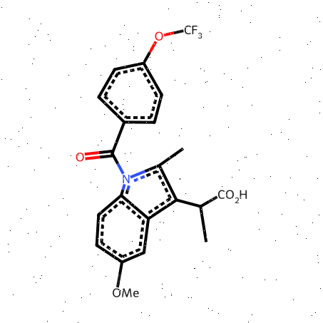 COc1ccc2c(c1)c(C(C)C(=O)O)c(C)n2C(=O)c1ccc(OC(F)(F)F)cc1